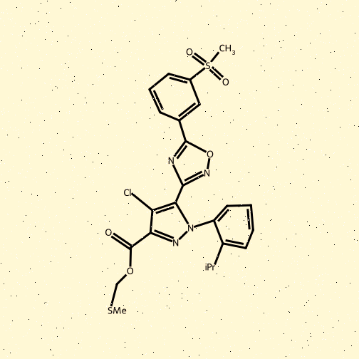 CSCOC(=O)c1nn(-c2ccccc2C(C)C)c(-c2noc(-c3cccc(S(C)(=O)=O)c3)n2)c1Cl